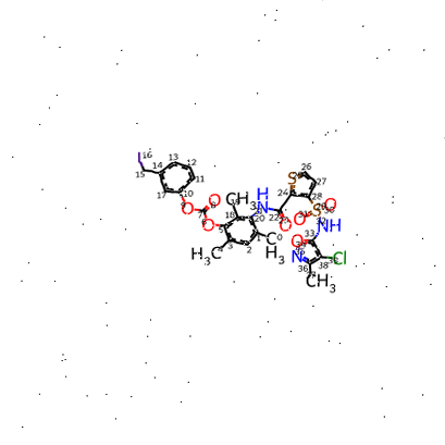 Cc1cc(C)c(OC(=O)Oc2cccc(CI)c2)c(C)c1NC(=O)c1sccc1S(=O)(=O)Nc1onc(C)c1Cl